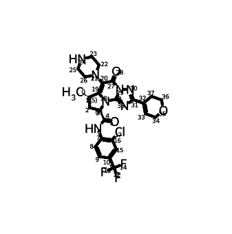 C[C@H]1C[C@H](C(=O)Nc2ccc(C(F)(F)F)cc2Cl)n2c1c(N1CCNCC1)c(=O)n1nc(C3=CCOCC3)nc21